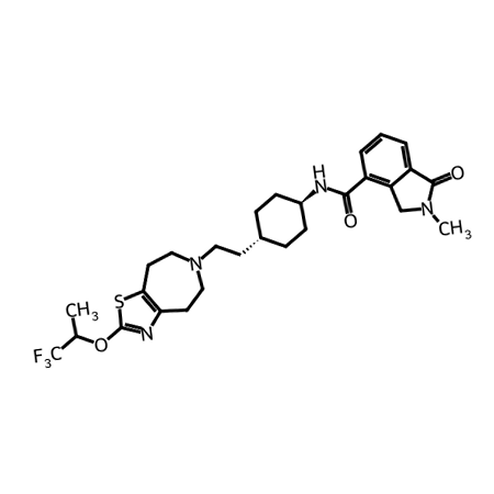 CC(Oc1nc2c(s1)CCN(CC[C@H]1CC[C@H](NC(=O)c3cccc4c3CN(C)C4=O)CC1)CC2)C(F)(F)F